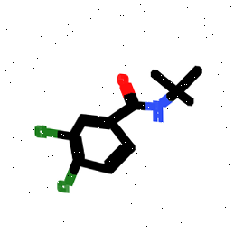 CC(C)(C)NC(=O)c1ccc(Cl)c(Cl)c1